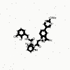 COc1ncc(-c2ccc3c(c2)c(C(C)=O)nn3CC(=O)N2[C@@H]3CC[C@@H](C3)[C@H]2C(=O)NCc2cccc(Cl)c2F)cn1